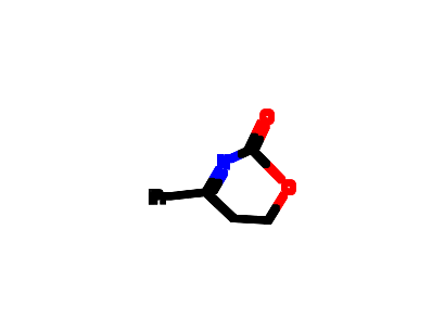 CC(C)C1=NC(=O)OCC1